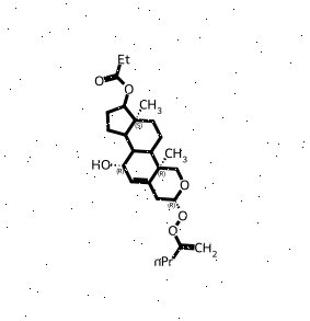 C=C(CCC)OO[C@@H]1CC2=C[C@H](O)C3C4CCC(OC(=O)CC)[C@@]4(C)CCC3[C@@]2(C)CO1